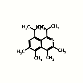 Cc1cc(C(C)C)c2c(C(C)C)nc(C)c(C)c2c1C